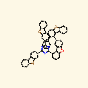 c1ccc(-c2ccc3sc4ccccc4c3c2-c2ccc3oc4cccc(-c5nc(-c6ccc7c(c6)sc6ccccc67)nc(-c6ccc7c(c6)sc6ccccc67)n5)c4c3c2)cc1